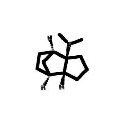 CN(C)[C@@]12CCC[C@@H]1[C@H]1CC[C@@H]2C1